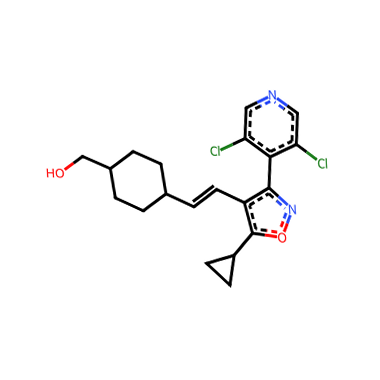 OCC1CCC(/C=C/c2c(-c3c(Cl)cncc3Cl)noc2C2CC2)CC1